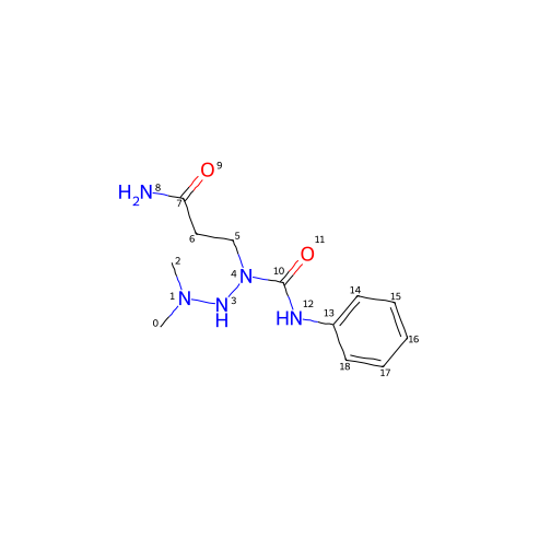 CN(C)NN(CCC(N)=O)C(=O)Nc1ccccc1